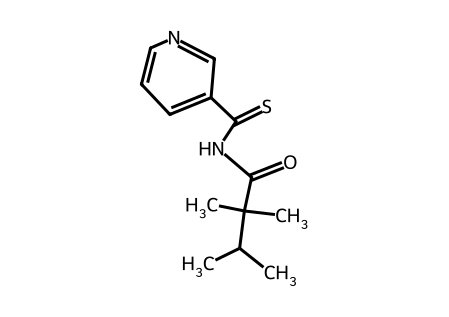 CC(C)C(C)(C)C(=O)NC(=S)c1cccnc1